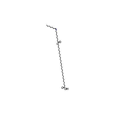 CCCCCC/C=C\CCCCCCCC(=O)OCCCCCCCCCCCCCCCCCCCCCCCCCCCC(=O)O